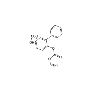 CCCCCCCCCOC(=O)Oc1ccccc1-c1ccccc1.O=C(O)O